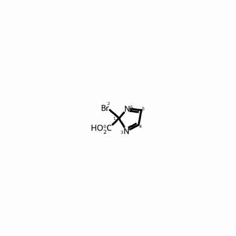 O=C(O)C1(Br)N=CC=N1